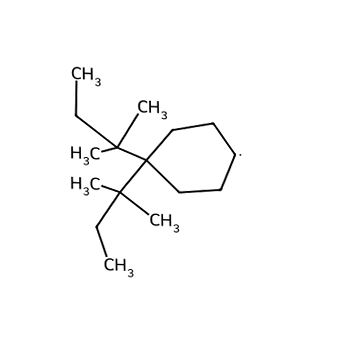 CCC(C)(C)C1(C(C)(C)CC)CC[CH]CC1